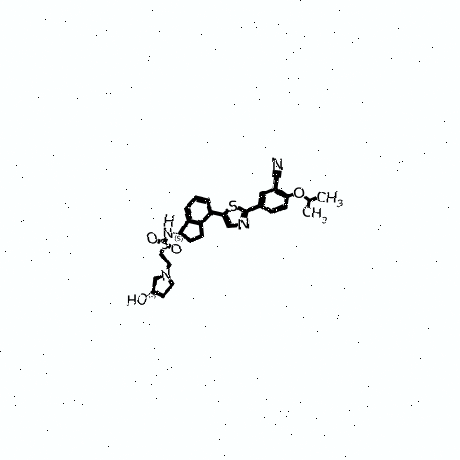 CC(C)Oc1ccc(-c2ncc(C3C=CC=C4C3CC[C@@H]4NS(=O)(=O)CCN3CC[C@H](O)C3)s2)cc1C#N